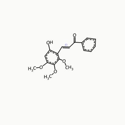 COc1cc(O)c(/C=C/C(=O)c2ccccc2)c(OC)c1OC